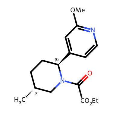 CCOC(=O)C(=O)N1C[C@H](C)CC[C@H]1c1ccnc(OC)c1